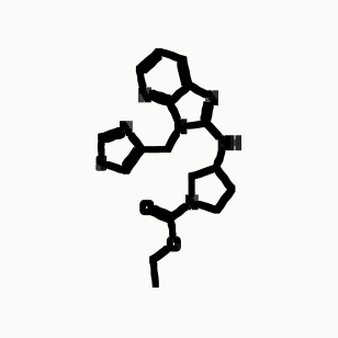 CCOC(=O)N1CCC(Nc2nc3cccnc3n2Cc2cscn2)C1